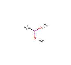 CP([O-])[O-].[Na+].[Na+]